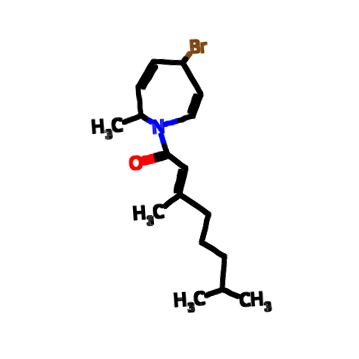 C/C(=C\C(=O)N1C=CC(Br)C=CC1C)CCCC(C)C